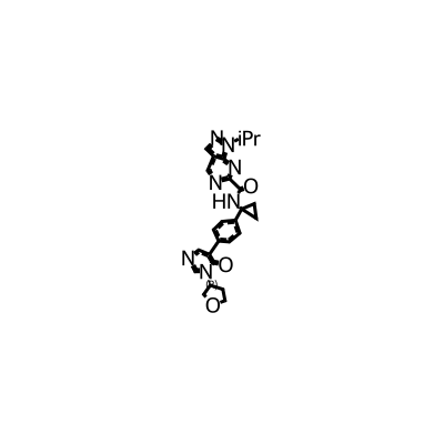 CC(C)n1ncc2cnc(C(=O)NC3(c4ccc(-c5cncn([C@@H]6CCOC6)c5=O)cc4)CC3)nc21